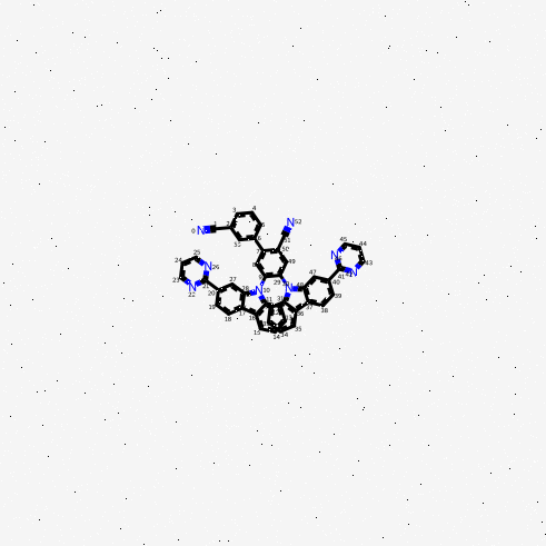 N#Cc1cccc(-c2cc(-n3c4ccccc4c4ccc(-c5ncccn5)cc43)c(-n3c4ccccc4c4ccc(-c5ncccn5)cc43)cc2C#N)c1